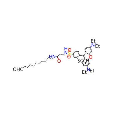 CCN(CC)c1ccc2c(-c3ccc(S(=O)(=O)NCCC(=O)NCCCCCCCCCCC=O)cc3S(=O)(=O)O)c3ccc(=[N+](CC)CC)cc-3oc2c1